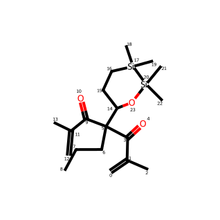 C=C(C)C(=O)C(CCC)(C(=O)C(=C)C)C1CC[Si](C)(C)[Si](C)(C)O1